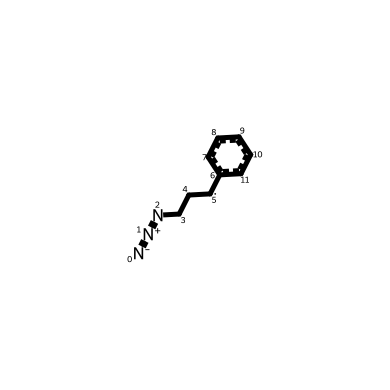 [N-]=[N+]=NCC[CH]c1ccccc1